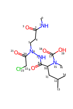 CNC(=O)CCN(NC(=O)C(CC(C)C)N(C)C(=O)O)C(=O)CCl